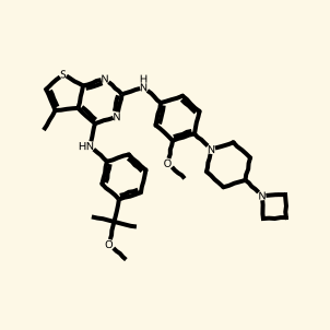 COc1cc(Nc2nc(Nc3cccc(C(C)(C)OC)c3)c3c(C)csc3n2)ccc1N1CCC(N2CCC2)CC1